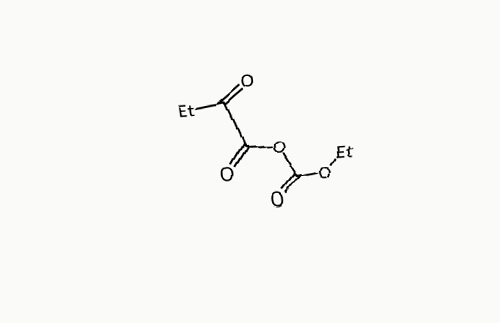 CCOC(=O)OC(=O)C(=O)CC